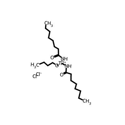 CCCCCCCC(=O)[NH][Ti+2]([NH]C(=O)CCCCCCC)[O]CCCC.[Cl-].[Cl-]